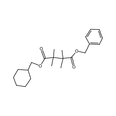 CC(C)(C(=O)OCc1ccccc1)C(C)(C)C(=O)OCC1CCCCC1